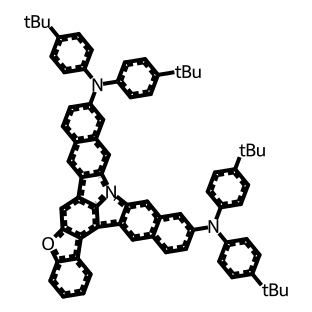 CC(C)(C)c1ccc(N(c2ccc(C(C)(C)C)cc2)c2ccc3cc4c5cc6oc7ccccc7c6c6c7cc8ccc(N(c9ccc(C(C)(C)C)cc9)c9ccc(C(C)(C)C)cc9)cc8cc7n(c4cc3c2)c56)cc1